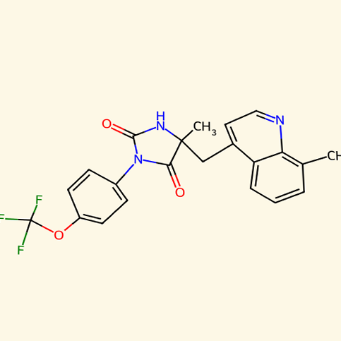 Cc1cccc2c(CC3(C)NC(=O)N(c4ccc(OC(F)(F)F)cc4)C3=O)ccnc12